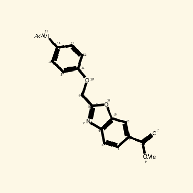 COC(=O)c1ccc2nc(COc3ccc(NC(C)=O)cc3)oc2c1